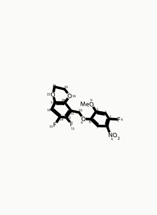 COc1cc(F)c([N+](=O)[O-])cc1OCc1c(F)c(F)cc2c1OCCO2